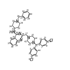 Clc1ccc(C(c2ccc(Cl)cc2)N2CCN(Cc3nc(NC4CCN(Cc5ccccc5)CC4)c4ccccc4n3)CC2)cc1